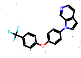 FC(F)(F)c1ccc(Oc2ccc(-n3ccc4ccncc43)cc2)cc1